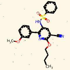 CCCCOc1nc(-c2cccc(OC)c2)c(NS(=O)(=O)c2ccccc2)cc1C#N